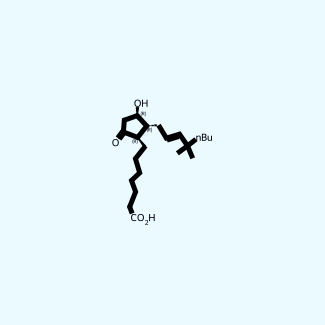 CCCCC(C)(C)C=CC[C@H]1[C@H](O)CC(=O)[C@@H]1CCCCCCC(=O)O